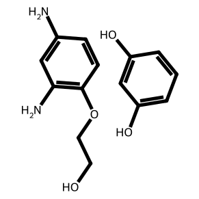 Nc1ccc(OCCO)c(N)c1.Oc1cccc(O)c1